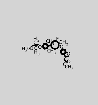 C=C1/C(F)=C\C=C(\c2c(C)cc(OCC(C)(C)COC)cc2C)CCC[C@H]1Oc1ccc2c(c1)OC[C@H]2CC(=O)OC